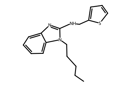 CCCCCn1c(NCc2cccs2)nc2ccccc21